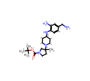 CC(C)(C)OC(=O)N1CCC(C)(N2CCC(Nc3ccc(CN)cc3N)CC2)C1